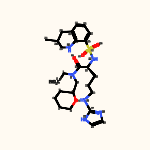 CCOC(=O)CN(CC1CCCCO1)C(=O)[C@H](CCCNc1ncc[nH]1)NS(=O)(=O)c1cccc2c1NCC(C)C2